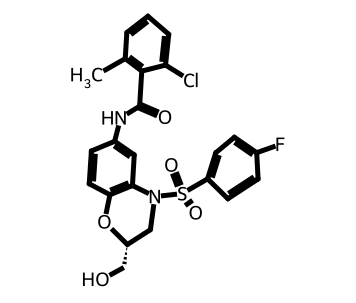 Cc1cccc(Cl)c1C(=O)Nc1ccc2c(c1)N(S(=O)(=O)c1ccc(F)cc1)C[C@H](CO)O2